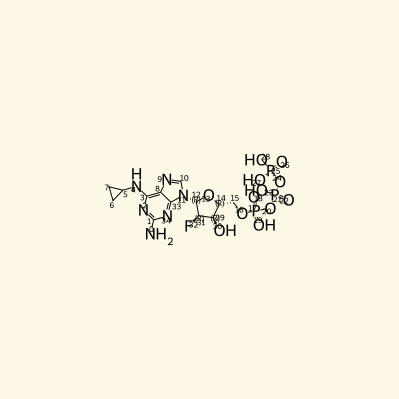 Nc1nc(NC2CC2)c2ncn([C@@H]3O[C@H](COP(=O)(O)OP(=O)(O)OP(=O)(O)O)[C@@H](O)[C@H]3F)c2n1